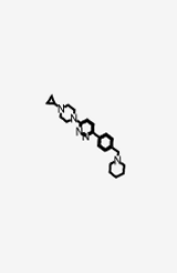 c1cc(-c2ccc(N3CCN(C4CC4)CC3)nn2)ccc1CN1CCCCC1